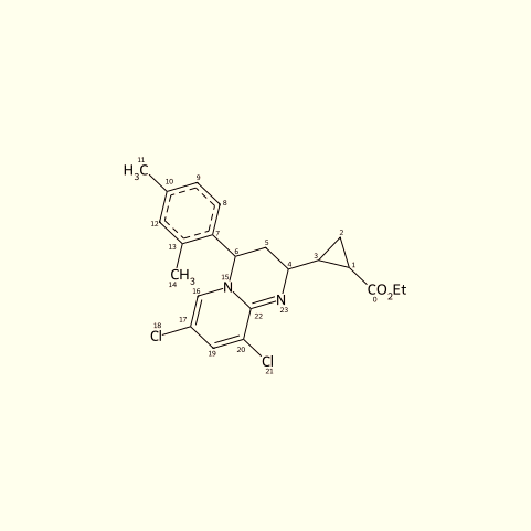 CCOC(=O)C1CC1C1CC(c2ccc(C)cc2C)N2C=C(Cl)C=C(Cl)C2=N1